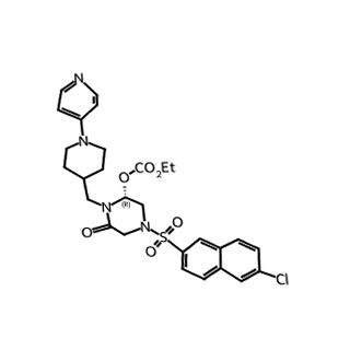 CCOC(=O)O[C@@H]1CN(S(=O)(=O)c2ccc3cc(Cl)ccc3c2)CC(=O)N1CC1CCN(c2ccncc2)CC1